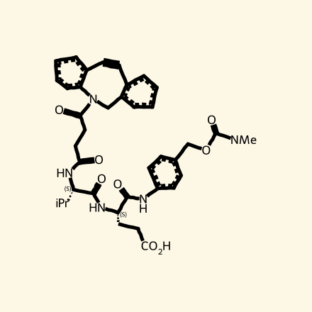 CNC(=O)OCc1ccc(NC(=O)[C@H](CCC(=O)O)NC(=O)[C@@H](NC(=O)CCC(=O)N2Cc3ccccc3C#Cc3ccccc32)C(C)C)cc1